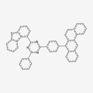 c1ccc(-c2nc(-c3ccc(-c4c5ccccc5cc5c4ccc4ccccc45)cc3)nc(-c3cccc4sc5ccccc5c34)n2)cc1